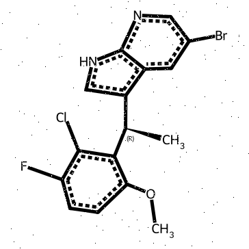 COc1ccc(F)c(Cl)c1[C@H](C)c1c[nH]c2ncc(Br)cc12